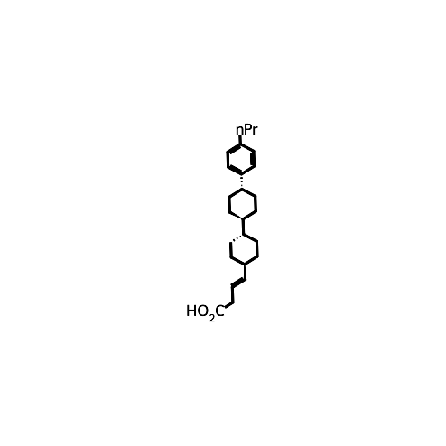 CCCc1ccc([C@H]2CC[C@H]([C@H]3CC[C@H](C=CCC(=O)O)CC3)CC2)cc1